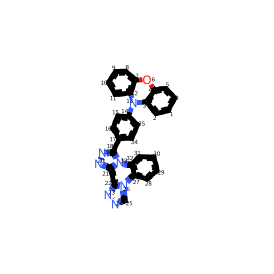 c1ccc2c(c1)Oc1ccccc1N2c1ccc(-c2nnc3c4nncn4c4ccccc4n23)cc1